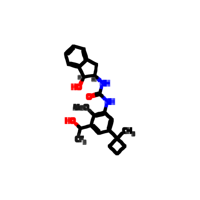 COc1c(NC(=O)N[C@@H]2Cc3ccccc3[C@@H]2O)cc(C2(C)CCC2)cc1C(O)C(F)(F)F